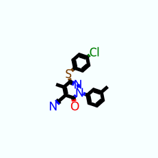 Cc1cccc(-n2nc(Sc3ccc(Cl)cc3)c(C)c(C#N)c2=O)c1